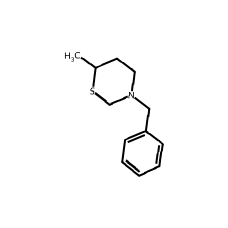 CC1CCN(Cc2ccccc2)CS1